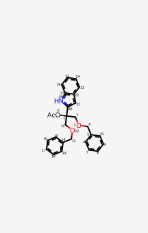 CC(=O)OC(COCc1ccccc1)(COCc1ccccc1)c1cc2ccccc2[nH]1